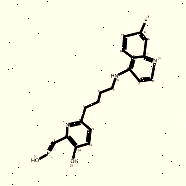 O/N=C/c1nc(CCCCNc2ccnc3cc(F)ccc23)ccc1O